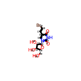 O=c1[nH]c(=O)n([C@@H]2O[C@H](CO)[C@@H](O)[C@@H]2O)cc1/C=C/Br